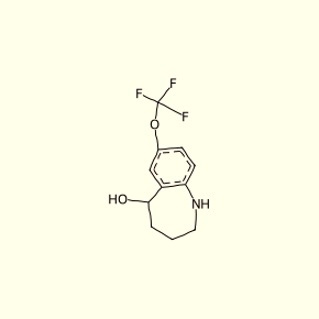 OC1CCCNc2ccc(OC(F)(F)F)cc21